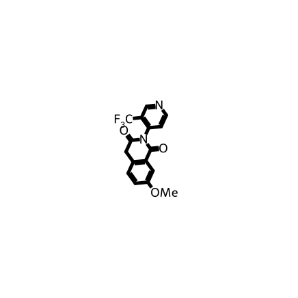 COc1ccc2c(c1)C(=O)N(c1ccncc1C(F)(F)F)C(=O)C2